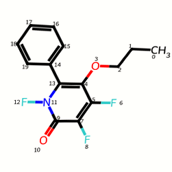 CCCOc1c(F)c(F)c(=O)n(F)c1-c1ccccc1